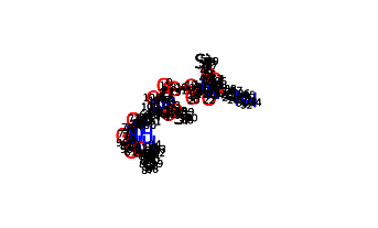 COc1cc2c(cc1OCCCOc1cc3c(cc1OC)C(=O)N1C=C(c4ccc(N5CCN(C)CC5)cc4)C[C@H]1C(=O)N3COCC[Si](C)(C)C)N(COCC[Si](C)(C)C)C(=O)[C@@H]1CC(c3ccc(NC(=O)C(C)NC(=O)C(NC(=O)OCC4c5ccccc5-c5ccccc54)C(C)C)cc3)=CN1C2=O